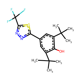 CC(C)(C)c1cc(-c2nnc(C(F)(F)F)s2)cc(C(C)(C)C)c1O